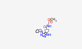 CS(=O)(=O)CCCNC(=O)C1CCc2[nH]c3ncnc(N4CCc5ccccc54)c3c2C1